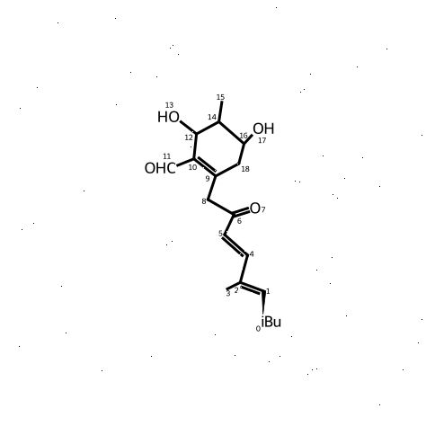 CC[C@H](C)/C=C(C)/C=C/C(=O)CC1=C(C=O)C(O)C(C)C(O)C1